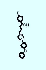 OC(CCCN1CCN(c2ccc(Oc3ccccc3)cc2)CC1)c1ccc(F)cc1